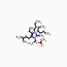 CC(=O)[O-].CCCC[N+]1(C(CC)CCC)C(CC)=C(CCC(C)C)N(CC)C1C